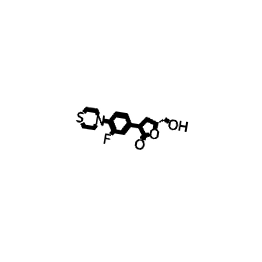 O=C1O[C@@H](CO)CC1c1ccc(N2CCSCC2)c(F)c1